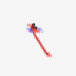 N=c1ccc2c(-c3ccccc3C(=O)O)c3ccc(N)c(S(=O)(=O)O)c3oc-2c1S(=O)(=O)NCCOCCOCCOCCOCCOCCOCCOCCOCCC(=O)O